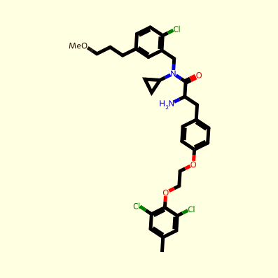 COCCCc1ccc(Cl)c(CN(C(=O)C(N)Cc2ccc(OCCOc3c(Cl)cc(C)cc3Cl)cc2)C2CC2)c1